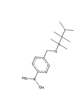 CC(C)C(C)(C)[Si](C)(C)OCc1ccc(B(O)O)cc1